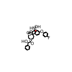 O=C(CC1(c2ccc(Oc3ccc(F)cc3)cc2)CCN(C(=O)[C@@H](O)c2ccccc2)CCS1(=O)=O)NO